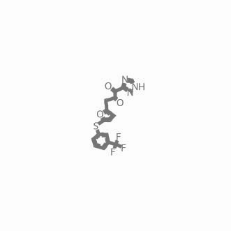 O=C(Cc1ccc(Sc2cccc(C(F)(F)F)c2)o1)C(=O)c1nc[nH]n1